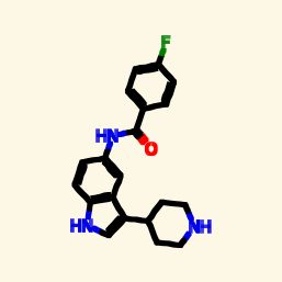 O=C(Nc1ccc2[nH]cc(C3CCNCC3)c2c1)c1ccc(F)cc1